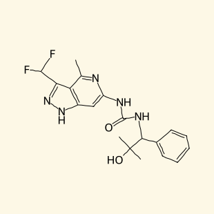 Cc1nc(NC(=O)NC(c2ccccc2)C(C)(C)O)cc2[nH]nc(C(F)F)c12